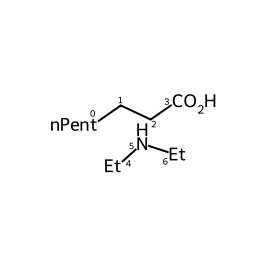 CCCCCCCC(=O)O.CCNCC